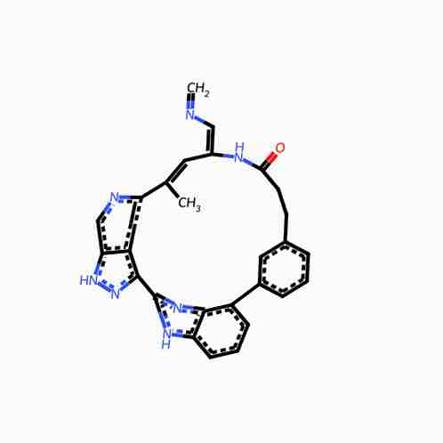 C=N/C=C1\C=C(/C)c2cc3c(n[nH]c3cn2)-c2nc3c(cccc3[nH]2)-c2cccc(c2)CCC(=O)N1